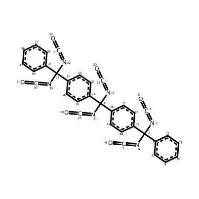 O=C=NC(N=C=O)(c1ccccc1)c1ccc(C(N=C=O)(N=C=O)c2ccc(C(N=C=O)(N=C=O)c3ccccc3)cc2)cc1